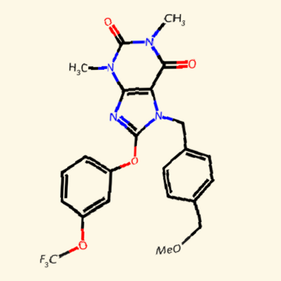 COCc1ccc(Cn2c(Oc3cccc(OC(F)(F)F)c3)nc3c2c(=O)n(C)c(=O)n3C)cc1